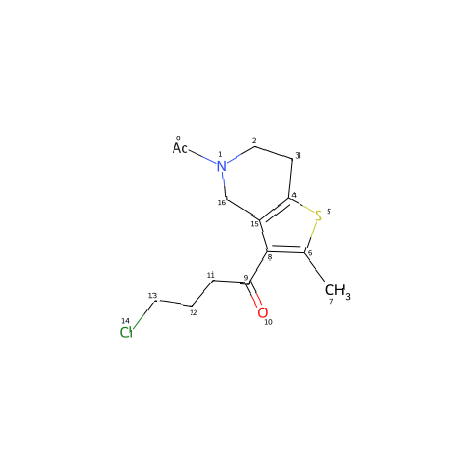 CC(=O)N1CCc2sc(C)c(C(=O)CCCCl)c2C1